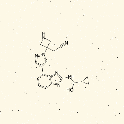 N#CCC1(n2cc(-c3cccc4nc(NC(O)C5CC5)nn34)cn2)CNC1